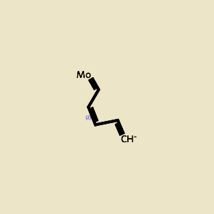 [CH-]=C/C=C\[CH]=[Mo]